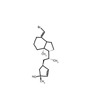 C[C@H](C[C@H]1C=C[C@](C)(O)C1)[C@H]1CCC2/C(=C/Br)CCC[C@@]21C